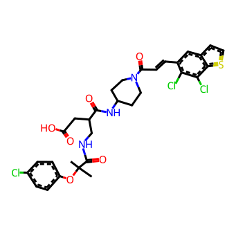 CC(C)(Oc1ccc(Cl)cc1)C(=O)NCC(CC(=O)O)C(=O)NC1CCN(C(=O)/C=C/c2cc3ccsc3c(Cl)c2Cl)CC1